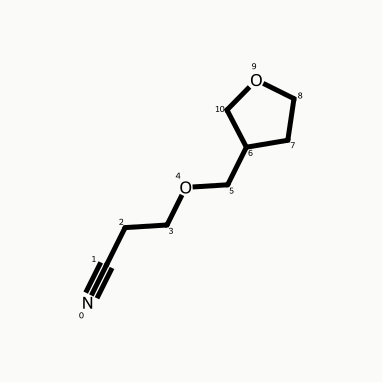 N#CCCOCC1CCOC1